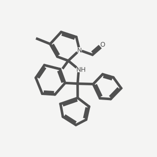 CC1=CC(C)(NC(c2ccccc2)(c2ccccc2)c2ccccc2)N(C=O)C=C1